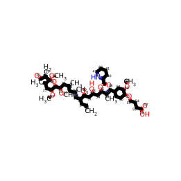 C=CCC(/C=C(\C)CC(C)CC(OC)C1OC(OC)(C(=C)C=O)C(C)CC1OC)C(=O)CC(O)CC(OC(=O)C1CCCCN1)/C(C)=C/C1CCC(OCCCC(=O)O)C(OC)C1